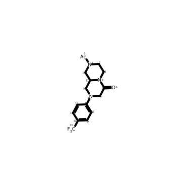 CC(=O)N1CCN2C(=O)CN(c3ccc(C(F)(F)F)cc3)CC2C1